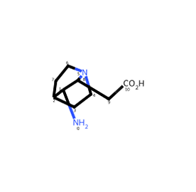 NC1C2CCN(CC2)C1CC(=O)O